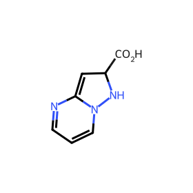 O=C(O)C1C=C2N=CC=CN2N1